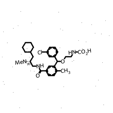 CN[C@@H](CNC(=O)c1ccc(C)c(C(OCCNC(=O)O)c2cccc(Cl)c2)c1)CC1CCCCC1